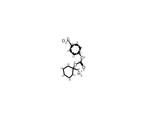 CC1(OC(=O)Oc2ccc([N+](=O)[O-])cc2)CCCCC1